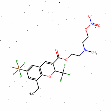 CCc1cc(S(F)(F)(F)(F)F)cc2c1OC(C(F)(F)F)C(C(=O)OCCN(C)CCO[N+](=O)[O-])=C2